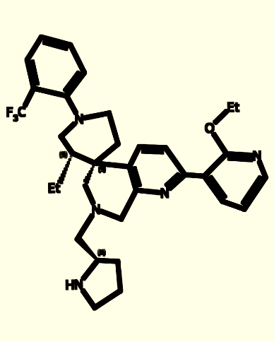 CCOc1ncccc1-c1ccc2c(n1)CN(C[C@H]1CCCN1)C[C@]21CCN(c2ccccc2C(F)(F)F)C[C@H]1CC